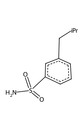 CC(C)Cc1cccc(S(N)(=O)=O)c1